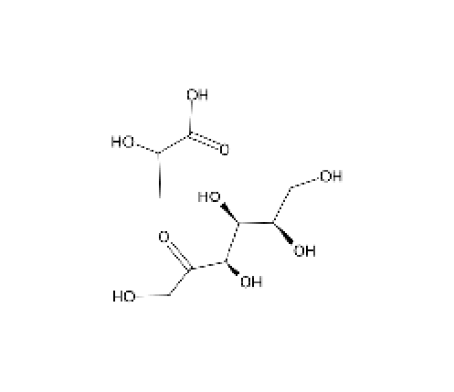 CC(O)C(=O)O.O=C(CO)[C@H](O)[C@@H](O)[C@H](O)CO